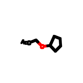 CC(=O)OCOC1CCCC1